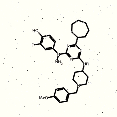 COc1ccc(CN2CCC(Nc3nc(C4CCCCCC4)nc(N(N)c4ccc(O)c(F)c4)n3)CC2)cc1